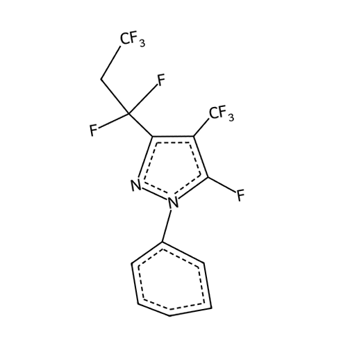 Fc1c(C(F)(F)F)c(C(F)(F)CC(F)(F)F)nn1-c1ccccc1